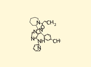 [CH]c1ccc(-c2nc(C3CCCCCN3C(=O)C=C)n3ccnc(Nc4ccccn4)c23)cc1